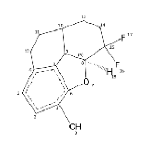 Oc1ccc2c3c1O[C@H]1C3C(CC2)CCC1(F)F